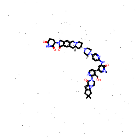 C[C@H]1CN([C@H]2CCN3Cc4cc5c(cc4C[C@@H]3C2)C(=O)N(C2CCC(=O)NC2=O)C5)CCN1c1ccc(Nc2cc(-c3ccnc(N4CCn5c(cc6c5CC(C)(C)C6)C4=O)c3CO)cn(C)c2=O)nc1